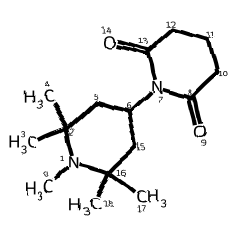 CN1C(C)(C)CC(N2C(=O)CCCC2=O)CC1(C)C